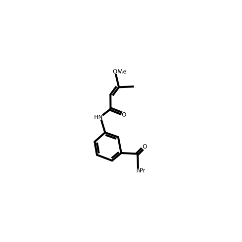 CCCC(=O)c1cccc(NC(=O)C=C(C)OC)c1